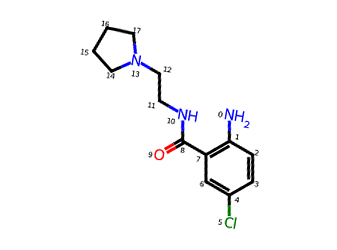 Nc1ccc(Cl)cc1C(=O)NCCN1CCCC1